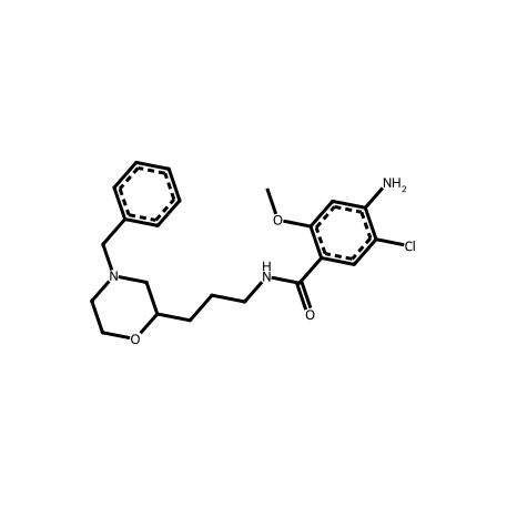 COc1cc(N)c(Cl)cc1C(=O)NCCCC1CN(Cc2ccccc2)CCO1